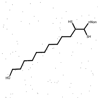 CCCCCCCCCC(S)C(S)CCCCCCCCCCO